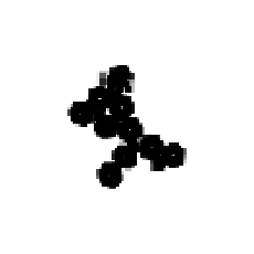 Fc1cccnc1-n1c2ccc(-c3ccc(N(c4ccc(-c5ccccc5)cc4)c4ccc5c(c4)sc4ccccc45)cc3)cc2c2c1ccc1c3ccccc3n(-c3ccccc3)c12